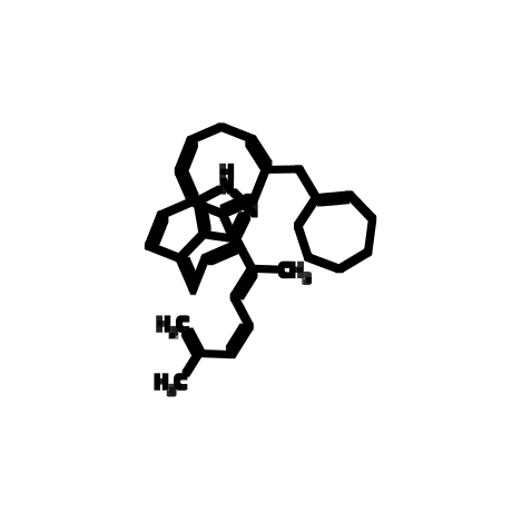 C=C(C)/C=C\C=C(/C)c1n[nH]cc1C1=C\C=C\C2=C\C(CC3=CCCCCC3)=C/CC=C=C2/C=C\1